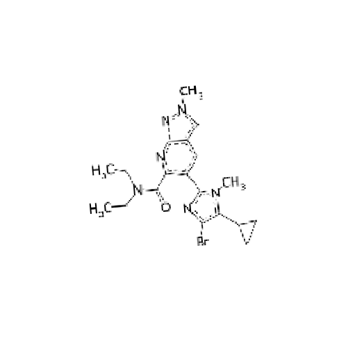 CCN(CC)C(=O)c1nc2nn(C)cc2cc1-c1nc(Br)c(C2CC2)n1C